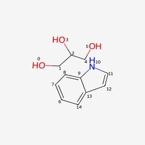 OCC(O)CO.c1ccc2[nH]ccc2c1